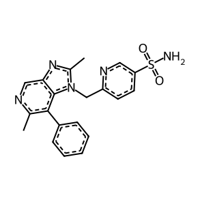 Cc1ncc2nc(C)n(Cc3ccc(S(N)(=O)=O)cn3)c2c1-c1ccccc1